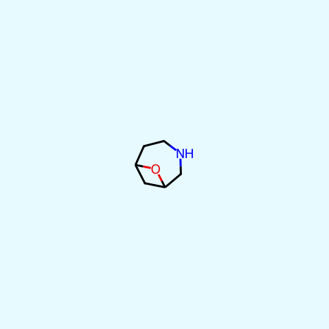 C1CC2CC(CN1)O2